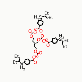 CCC=C(CC)[SiH2]c1ccc(C(=O)OOC(=O)OCCC(CCOC(=O)OOC(=O)c2ccc([SiH2]C(=CCC)CC)cc2)COC(=O)OOC(=O)c2ccc([SiH2]C(=CCC)CC)cc2)cc1